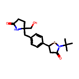 CC(C)(C)N1SC(c2ccc(CC3(CO)CCC(=O)N3)cc2)CC1=O